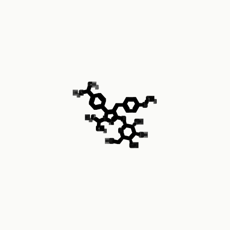 COc1ccc(Cc2c(O[C@@H]3O[C@H](CO)[C@@H](O)[C@H](O)[C@H]3O)nn(C(C)C)c2-c2ccc(C(C)C)cc2)cc1